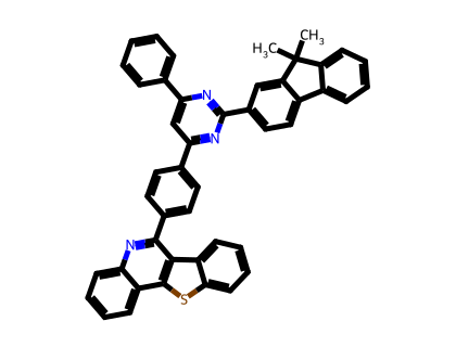 CC1(C)c2ccccc2-c2ccc(-c3nc(-c4ccccc4)cc(-c4ccc(-c5nc6ccccc6c6sc7ccccc7c56)cc4)n3)cc21